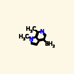 Bc1cnc(C)c2c1ccn2C